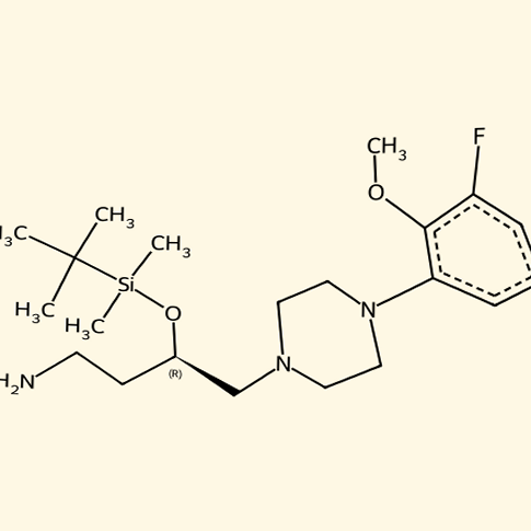 COc1c(F)cccc1N1CCN(C[C@@H](CCN)O[Si](C)(C)C(C)(C)C)CC1